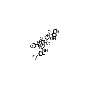 CCc1c(N2CCN(C(=O)c3c(O)ccc4ncccc34)CC2)c(=O)n2nc(C3=CCOCC3)nc2n1CC(=O)Nc1ccc(C(F)(F)F)cc1C